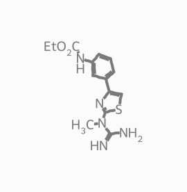 CCOC(=O)Nc1cccc(-c2csc(N(C)C(=N)N)n2)c1